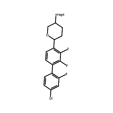 CCCCCCCC1CCC(c2ccc(-c3ccc(CC)cc3F)c(F)c2F)OC1